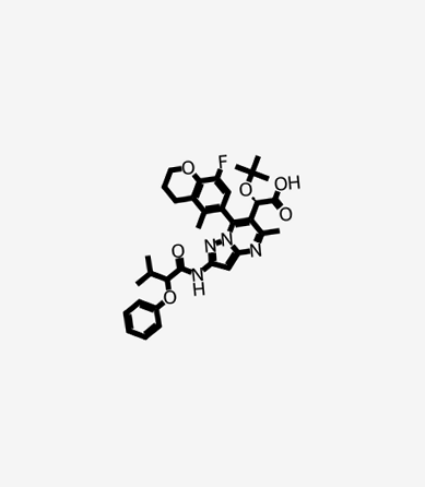 Cc1nc2cc(NC(=O)C(Oc3ccccc3)C(C)C)nn2c(-c2cc(F)c3c(c2C)CCCO3)c1[C@H](OC(C)(C)C)C(=O)O